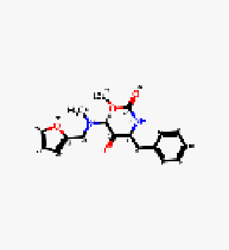 CN(CC(=O)C(Cc1ccccc1)NC(=O)OC(C)(C)C)Cc1ccco1